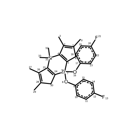 CC1=C(C)C2=[C](C1)[Zr]([O]c1ccc(F)cc1)([O]c1ccc(F)cc1)[C]1=C(C(C)=C(C)C1)[Si]2(C)C